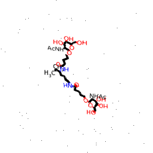 C=C(C)C(CCCCNC(=O)CCCCOC1OC(CO)C(O)C(O)C1NC(C)=O)NC(=O)CCCCOC1OC(CO)C(O)C(O)C1NC(C)=O